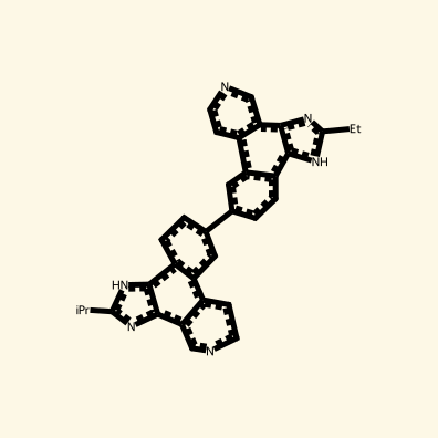 CCc1nc2c3cnccc3c3cc(-c4ccc5c(c4)c4ccncc4c4nc(C(C)C)[nH]c54)ccc3c2[nH]1